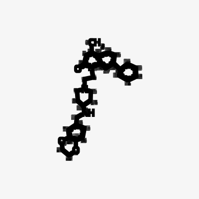 Cc1cc(=O)n(CCN2CCC(NCc3ccc4c(c3)OCCO4)CC2)c2cc(-c3ccccc3)ccc12